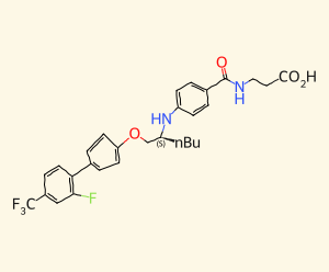 CCCC[C@@H](COc1ccc(-c2ccc(C(F)(F)F)cc2F)cc1)Nc1ccc(C(=O)NCCC(=O)O)cc1